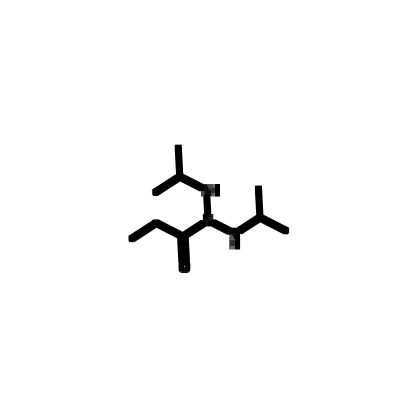 CCC(=O)N(NC(C)C)NC(C)C